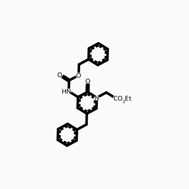 CCOC(=O)Cn1cc(Cc2ccccc2)cc(NC(=O)OCc2ccccc2)c1=O